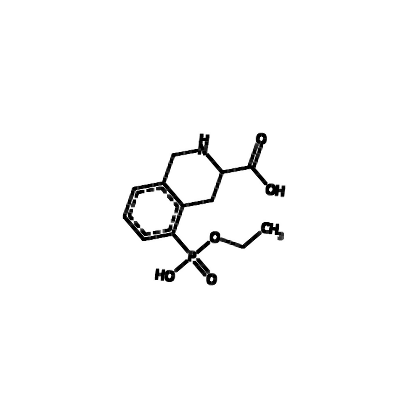 CCOP(=O)(O)c1cccc2c1CC(C(=O)O)NC2